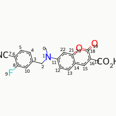 CN(Cc1ccc(C#N)c(F)c1)c1ccc2cc(C(=O)O)c(=O)oc2c1